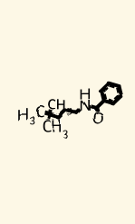 CC(C)(C)CCCNC(=O)c1ccccc1